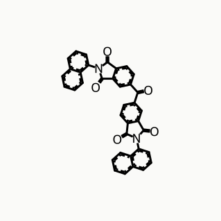 O=C(c1ccc2c(c1)C(=O)N(c1cccc3ccccc13)C2=O)c1ccc2c(c1)C(=O)N(c1cccc3ccccc13)C2=O